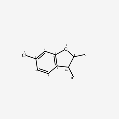 CC1Oc2cc(Cl)ccc2C1C